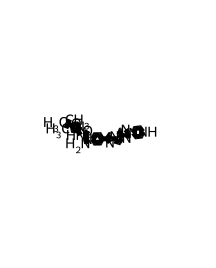 CC(C)(C)c1cc(NC(=O)N(N)c2ccc(-c3cn4c(n3)Cc3nc(N5CCNCC5)ncc3-4)cc2)no1